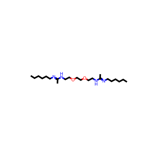 CCCCCC/N=C(\C)NCCOCCOCCN/C(C)=N/CCCCCC